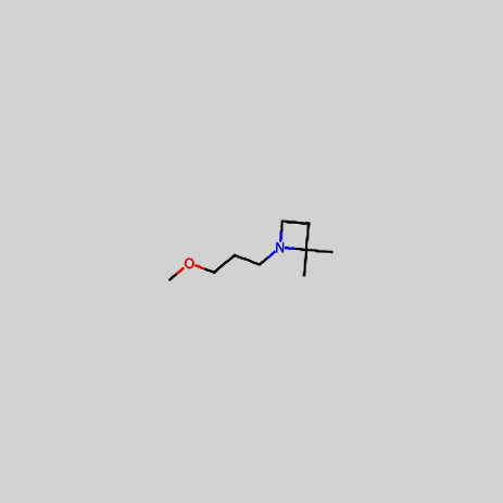 COCCCN1CCC1(C)C